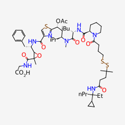 CCCC(CC)(NC(=O)CCC(C)(C)SSCCCC(=O)N1CCCC[C@@H]1C(=O)N[C@H](C(=O)N(C)[C@H](C[C@@H](OC(C)=O)c1nc(C(=O)N[C@@H](Cc2ccccc2)C2OC2(C)C(=O)NCC(=O)O)cs1)C(C)C)[C@@H](C)CC)C1CC1